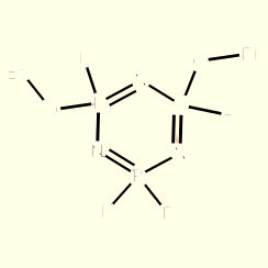 CCOP1(F)=NP(F)(F)=NP(F)(OCC)=N1